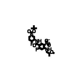 COC(C)CNc1cc(F)c(C(=O)N[C@H]2CN(C(=O)OC(C)(C)C)CC[C@@H]2F)cc1[N+](=O)[O-]